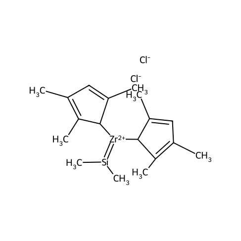 CC1=CC(C)=C(C)[CH]1[Zr+2]([CH]1C(C)=CC(C)=C1C)=[Si](C)C.[Cl-].[Cl-]